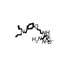 C=CCN(CC=C)Cc1cccc(OCCCNc2n[s+]([O-])nc2N)c1